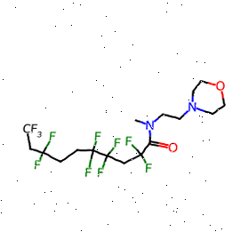 CN(CCN1CCOCC1)C(=O)C(F)(F)CC(F)(F)C(F)(F)CCC(F)(F)CC(F)(F)F